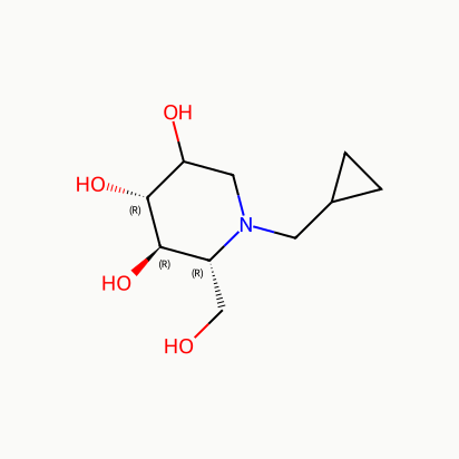 OC[C@@H]1[C@@H](O)[C@H](O)C(O)CN1CC1CC1